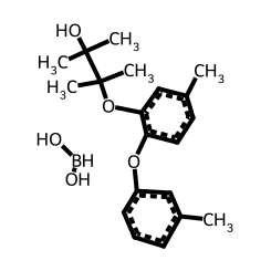 Cc1cccc(Oc2ccc(C)cc2OC(C)(C)C(C)(C)O)c1.OBO